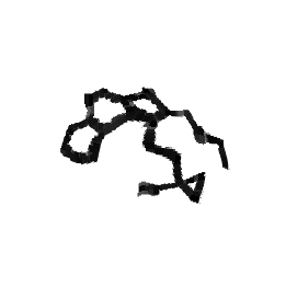 CCOCc1nc2cnc3ccccc3c2n1CCC1(O)CC1